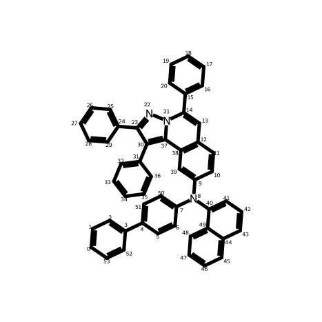 c1ccc(-c2ccc(N(c3ccc4cc(-c5ccccc5)n5nc(-c6ccccc6)c(-c6ccccc6)c5c4c3)c3cccc4ccccc34)cc2)cc1